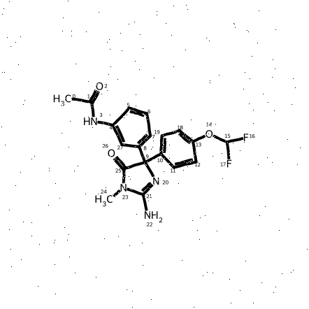 CC(=O)Nc1cccc(C2(c3ccc(OC(F)F)cc3)N=C(N)N(C)C2=O)c1